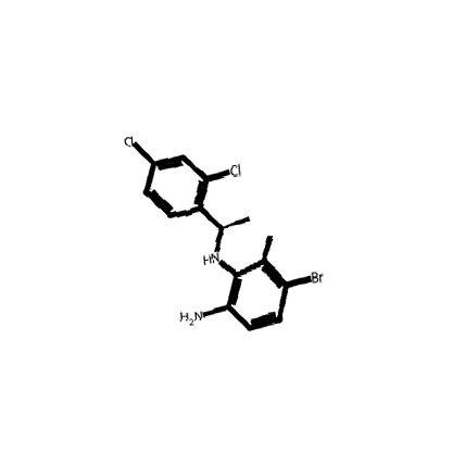 Cc1c(Br)ccc(N)c1N[C@H](C)c1ccc(Cl)cc1Cl